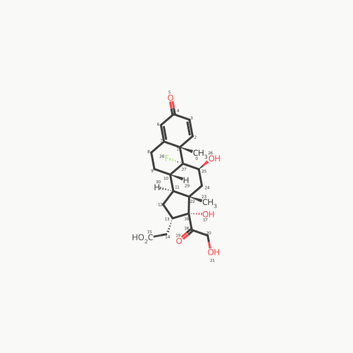 C[C@]12C=CC(=O)C=C1CC[C@H]1[C@@H]3C[C@@H](CC(=O)O)[C@](O)(C(=O)CO)[C@@]3(C)C[C@H](O)[C@@]12F